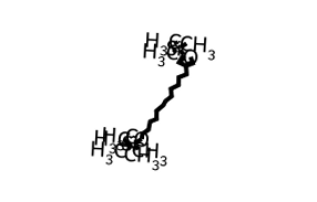 CC(C)(C)[Si](C)(C)OCCCCCCCCCCCCc1coc([Si](C)(C)C)c1